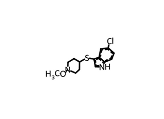 CON1CCC(Sc2c[nH]c3ccc(Cl)cc23)CC1